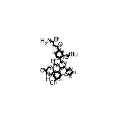 CC(C)(C)Oc1cc(C(=O)CC(N)=O)ccc1C1=N[C@@H](c2nccs2)[C@@H](c2ccc(Cl)cc2)N1C(=O)N1CCNC(=O)C1